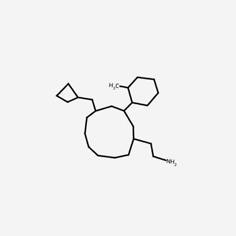 CC1CCCCC1C1CC(CCN)CCCCCCC(CC2CCC2)C1